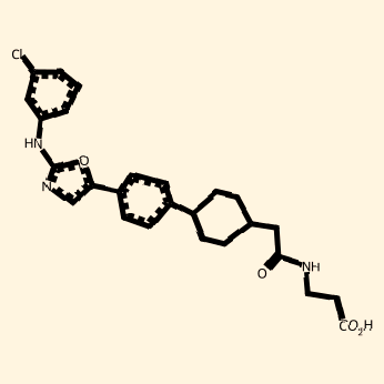 O=C(O)CCNC(=O)CC1CCC(c2ccc(-c3cnc(Nc4cccc(Cl)c4)o3)cc2)CC1